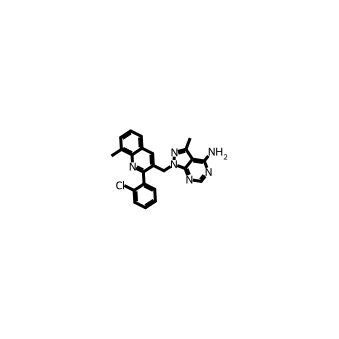 Cc1cccc2cc(Cn3nc(C)c4c(N)ncnc43)c(-c3ccccc3Cl)nc12